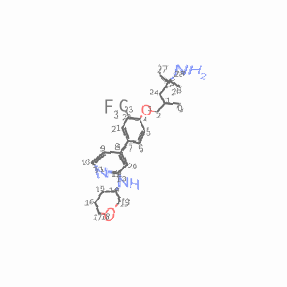 CC(COc1ccc(-c2ccnc(NC3CCCOC3)c2)cc1C(F)(F)F)CC(C)(C)N